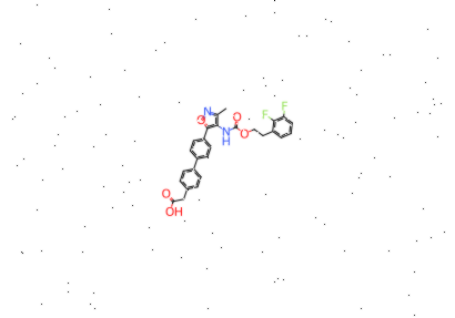 Cc1noc(-c2ccc(-c3ccc(CC(=O)O)cc3)cc2)c1NC(=O)OCCc1cccc(F)c1F